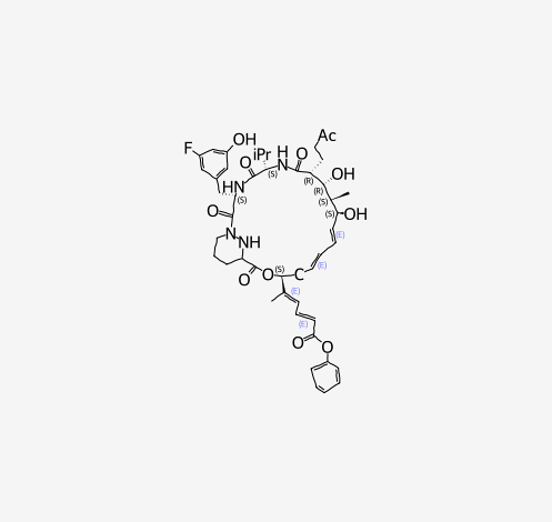 CC(=O)CC[C@H]1C(=O)N[C@@H](C(C)C)C(=O)N[C@@H](Cc2cc(O)cc(F)c2)C(=O)N2CCCC(N2)C(=O)O[C@H](/C(C)=C/C=C/C(=O)Oc2ccccc2)C/C=C/C=C/[C@H](O)[C@H](C)[C@H]1O